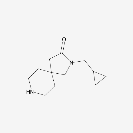 O=C1CC2(CCNCC2)CN1CC1CC1